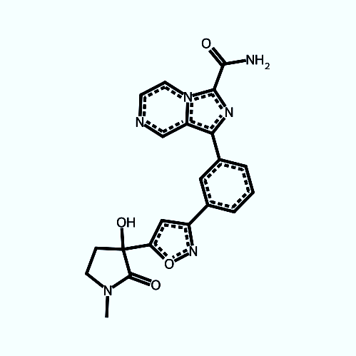 CN1CCC(O)(c2cc(-c3cccc(-c4nc(C(N)=O)n5ccncc45)c3)no2)C1=O